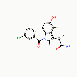 Cc1c([C@H](C)C(N)=O)c2c(F)c(O)ccc2n1C(=O)c1cccc(Cl)c1